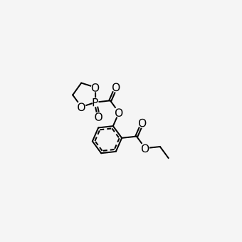 CCOC(=O)c1ccccc1OC(=O)P1(=O)OCCO1